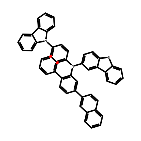 c1ccc(-c2ccc(-c3ccc4ccccc4c3)cc2N(c2ccc(-n3c4ccccc4c4ccccc43)cc2)c2ccc3sc4ccccc4c3c2)cc1